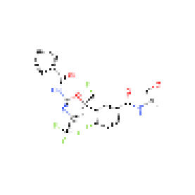 COC[C@H](C)NC(=O)c1ccc(F)c([C@]2(CF)C[C@@H](C(F)(F)F)N=C(NC(=O)c3ccccc3)O2)c1